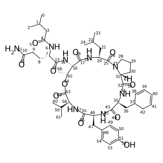 CC(C)CC(=O)N[C@@H](CCC(N)=O)C(=O)N[C@@H]1C(=O)N[C@@H](CC(C)C)C(=O)N2CCC[C@@H]2C(=O)N[C@@H](CC2C=CC=CC2)C(=O)N[C@@H](Cc2ccc(O)cc2)C(=O)N[C@@H](C(C)C)C(=O)O[C@@H]1C